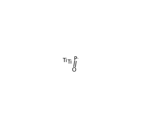 O=[P].[Ti].[Ti]